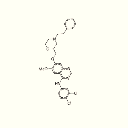 COc1cc2c(Nc3ccc(Cl)c(Cl)c3)ncnc2cc1OCC1CN(CCc2ccccc2)CCO1